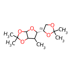 CC1C2OC(C)(C)OC2OC1[C@@H]1COC(C)(C)O1